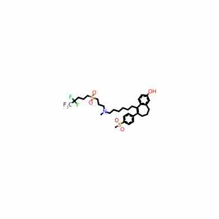 CN(CCCCCCC1=C(c2ccc(S(C)(=O)=O)cc2)CCCc2cc(O)ccc21)CCCS(=O)(=O)CCCC(F)(F)C(F)(F)F